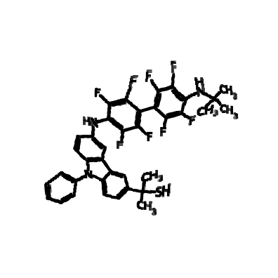 CC(C)(C)Nc1c(F)c(F)c(-c2c(F)c(F)c(Nc3ccc4c(c3)c3cc(C(C)(C)S)ccc3n4-c3ccccc3)c(F)c2F)c(F)c1F